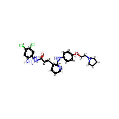 Nc1cc(Cl)c(Cl)cc1NC(=O)/C=C/c1cccnc1Nc1ccc(OCCN2CCCC2)cc1